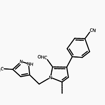 Cc1cc(-c2ccc(C#N)cc2)c(C=O)n1Cc1cc(C(F)(F)F)n[nH]1